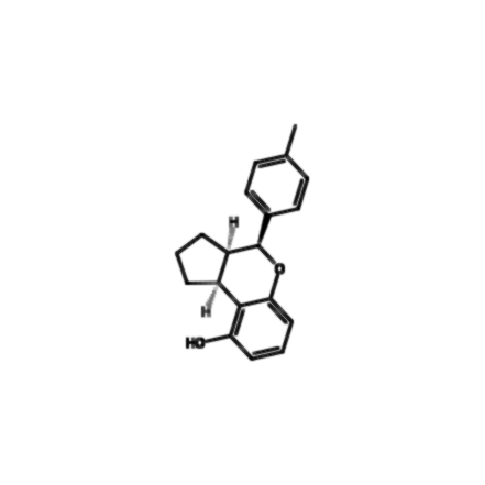 Cc1ccc([C@H]2Oc3cccc(O)c3[C@H]3CCC[C@H]32)cc1